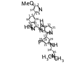 COc1cncc(-c2ccc3[nH]nc(-c4nc5c(-c6cc(F)cc(NCCN(C)C)c6)nccc5[nH]4)c3c2)c1